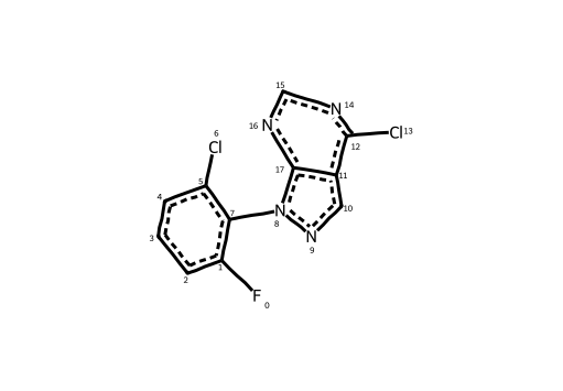 Fc1cccc(Cl)c1-n1ncc2c(Cl)ncnc21